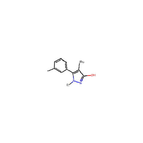 CCn1nc(O)c(C(C)(C)C)c1-c1cccc(C)c1